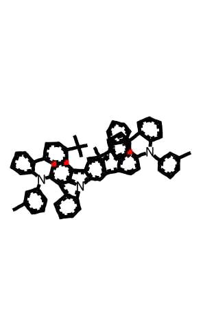 Cc1cccc(N(c2ccccc2-c2ccc(C(C)(C)C)cc2)c2ccc3c4cc5c(cc4n4c6ccccc6c2c34)c2ccc(N(c3cccc(C)c3)c3ccccc3-c3ccc(C(C)(C)C)cc3)c3c4ccccc4n5c23)c1